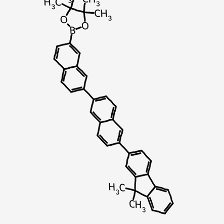 CC1(C)c2ccccc2-c2ccc(-c3ccc4cc(-c5ccc6ccc(B7OC(C)(C)C(C)(C)O7)cc6c5)ccc4c3)cc21